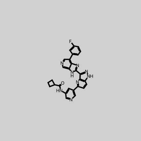 O=C(Nc1cncc(-c2ccc3[nH]nc(-c4nc5c(-c6cccc(F)c6)cncc5[nH]4)c3n2)c1)C1CCC1